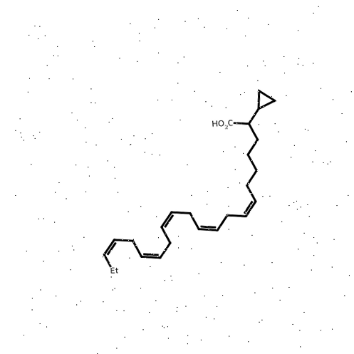 CC/C=C\C/C=C\C/C=C\C/C=C\C/C=C\CCCCC(C(=O)O)C1CC1